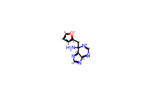 NC1(Cc2ccco2)N=CN=C2N=CN=C21